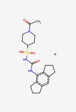 CC(=O)N1CCC(S(=O)(=O)NC(=O)Nc2c3c(cc4c2CCC4)CCC3)CC1.[K]